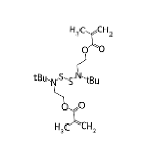 C=C(C)C(=O)OCCN(SSN(CCOC(=O)C(=C)C)C(C)(C)C)C(C)(C)C